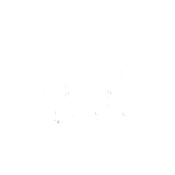 Cc1ccnc(NS(=O)(=O)c2ccccc2N)n1